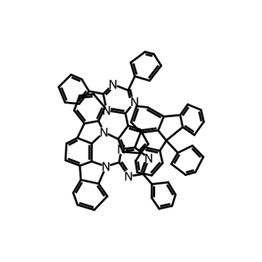 c1ccc(-c2nc(-c3ccccc3)nc(-c3ccccc3-n3c4ccccc4c4ccc5c6ccccc6n(-c6nc(-c7ccccc7)nc(-c7cccc8c7C(c7ccccc7)(c7ccccc7)c7ccccc7-8)n6)c5c43)n2)cc1